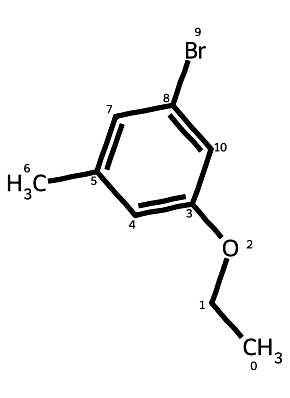 CCOc1cc(C)cc(Br)c1